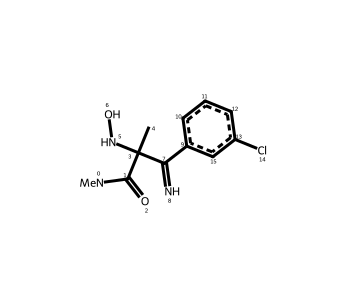 CNC(=O)C(C)(NO)C(=N)c1cccc(Cl)c1